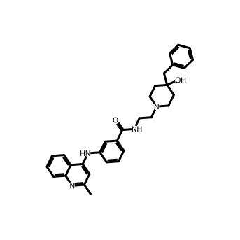 Cc1cc(Nc2cccc(C(=O)NCCN3CCC(O)(Cc4ccccc4)CC3)c2)c2ccccc2n1